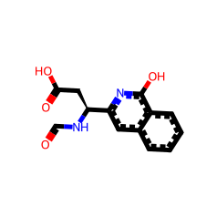 O=CN[C@@H](CC(=O)O)c1cc2ccccc2c(O)n1